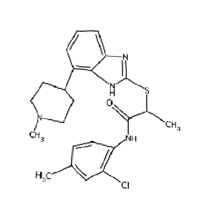 Cc1ccc(NC(=O)C(C)Sc2nc3cccc(C4CCN(C)CC4)c3[nH]2)c(Cl)c1